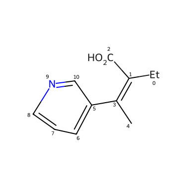 CC/C(C(=O)O)=C(\C)c1cccnc1